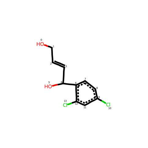 OC/C=C/C(O)c1ccc(Cl)cc1Cl